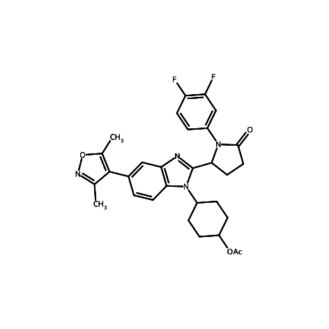 CC(=O)OC1CCC(n2c(C3CCC(=O)N3c3ccc(F)c(F)c3)nc3cc(-c4c(C)noc4C)ccc32)CC1